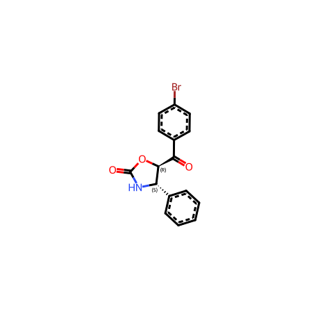 O=C1N[C@@H](c2ccccc2)[C@H](C(=O)c2ccc(Br)cc2)O1